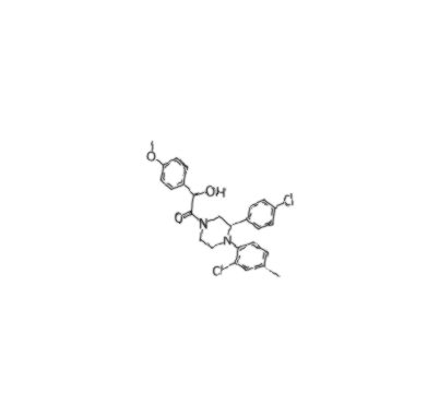 COc1ccc(C(O)C(=O)N2CCN(c3ccc(C)cc3Cl)C(c3ccc(Cl)cc3)C2)cc1